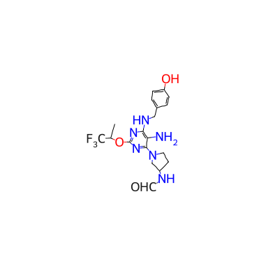 CC(Oc1nc(NCc2ccc(O)cc2)c(N)c(N2CCC(NC=O)C2)n1)C(F)(F)F